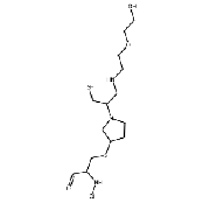 O=CC(CSC1CCN(C(CS)CNCCOCCO)C1)NO